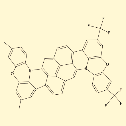 Cc1ccc2c(c1)Oc1cc(C)cc3c1B2c1cc2ccc4c5c(cc6ccc-3c1c6c25)B1c2ccc(C(F)(F)F)cc2Oc2cc(C(F)(F)F)cc-4c21